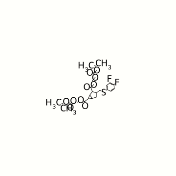 CC(C)OC(=O)OCOC(=O)C1C(CSc2ccc(F)c(F)c2)CC2C(C(=O)OCOC(=O)OC(C)C)C21